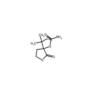 CC(C)(C)C1(OC(N)=O)CCOC1=O